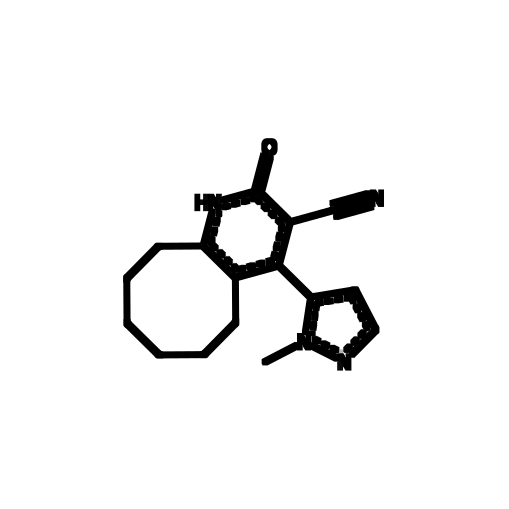 Cn1nccc1-c1c2c([nH]c(=O)c1C#N)CCCCCC2